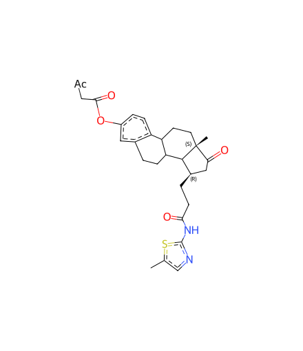 CC(=O)CC(=O)Oc1ccc2c(c1)CCC1C2CC[C@]2(C)C(=O)C[C@@H](CCC(=O)Nc3ncc(C)s3)C12